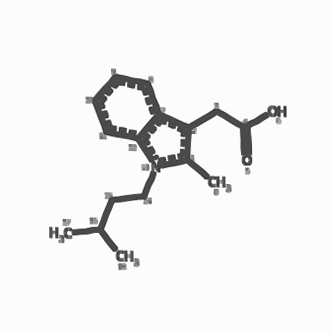 Cc1c(CC(=O)O)c2ccccc2n1CCC(C)C